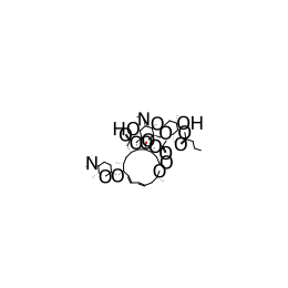 CCCC(=O)O[C@H]1[C@H](C)O[C@@H](O[C@H]2[C@H](N(C)C)[C@@H](O)[C@H](O[C@H]3[C@@H](CC=O)C[C@@H](C)[C@@H](O[C@H]4CC[C@H](N(C)C)[C@@H](C)O4)/C=C/C=C/C[C@@H](C)OC(=O)C[C@@H](OC(C)=O)[C@@H]3OC)O[C@@H]2C)C[C@@]1(C)O